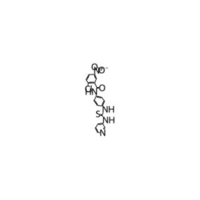 O=C(Nc1ccc(NC(=S)Nc2cccnc2)cc1)c1cc([N+](=O)[O-])ccc1Cl